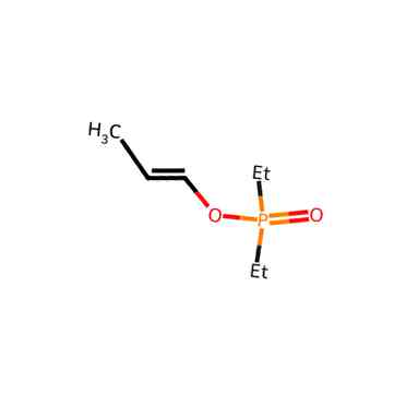 CC=COP(=O)(CC)CC